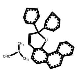 C1=CC(c2ccccc2)(c2ccccc2)Oc2c1ccc1ccc3ccccc3c21.CN(C)C=O